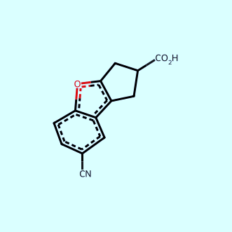 N#Cc1ccc2oc3c(c2c1)CC(C(=O)O)C3